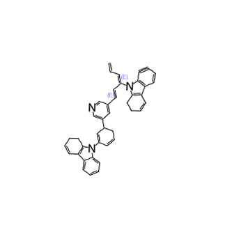 C=C/C=C(\C=C\c1cncc(C2C=C(n3c4c(c5ccccc53)C=CCC4)C=CC2)c1)n1c2c(c3ccc#cc31)C=CCC2